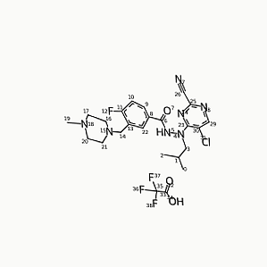 CC(C)CN(NC(=O)c1ccc(F)c(CN2CCN(C)CC2)c1)c1nc(C#N)ncc1Cl.O=C(O)C(F)(F)F